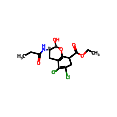 CCOC(=O)C1CC(Cl)=C(Cl)C2=C1OB(O)[C@@H](NC(=O)CC)C2